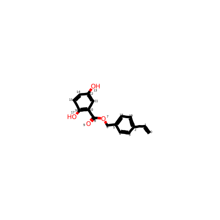 C=Cc1ccc(COC(=O)c2cc(O)ccc2O)cc1